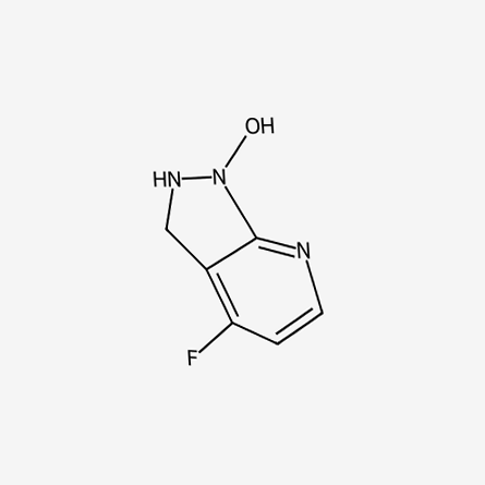 ON1NCc2c(F)ccnc21